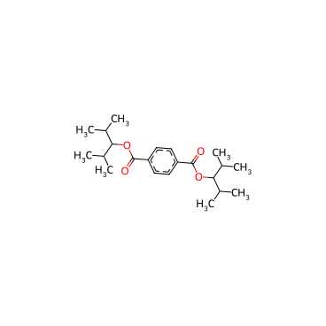 CC(C)C(OC(=O)c1ccc(C(=O)OC(C(C)C)C(C)C)cc1)C(C)C